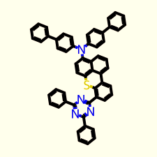 c1ccc(-c2ccc(N(c3ccc(-c4ccccc4)cc3)c3ccc4c5c(cccc35)-c3cccc(-c5nc(-c6ccccc6)nc(-c6ccccc6)n5)c3S4)cc2)cc1